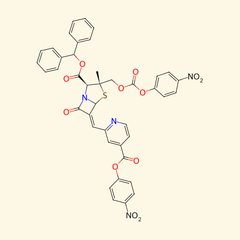 C[C@@]1(COC(=O)Oc2ccc([N+](=O)[O-])cc2)SC2/C(=C\c3cc(C(=O)Oc4ccc([N+](=O)[O-])cc4)ccn3)C(=O)N2[C@H]1C(=O)OC(c1ccccc1)c1ccccc1